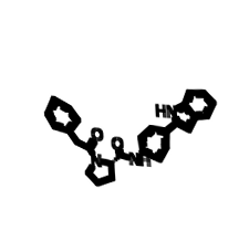 O=C(Nc1ccc(-c2cc3ccccc3[nH]2)cc1)[C@@H]1CCCN1C(=O)Cc1ccccc1